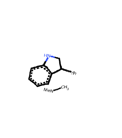 CCCC1CNc2ccccc21.CNC